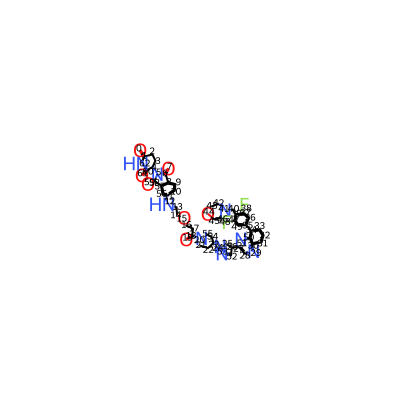 O=C1CCC(N2C(=O)c3ccc(NCCOCCC(=O)N4CCC(N5CC(c6cnc7cccc(-c8cc(F)c(CN9CCOCC9)c(F)c8)c7n6)C=N5)CC4)cc3C2=O)C(=O)N1